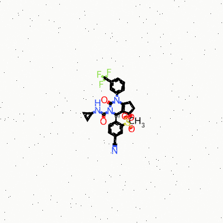 CS(=O)(=O)c1cc(C#N)ccc1[C@@H]1C2=C(CCC2=O)N(c2cccc(C(F)(F)F)c2)C(=O)N1C(=O)NC1CC1